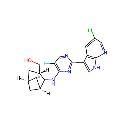 OC[C@H]1C[C@H]2C[C@H](C2)C1Nc1nc(-c2c[nH]c3ncc(Cl)cc23)ncc1F